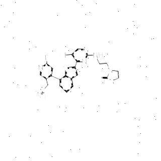 CNCc1cnc(F)cc1-c1cccc2cc(-c3nc(NCCN4CCNC4=O)ncc3Cl)sc12